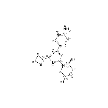 C[C@H]1CN(c2cc(-c3cnc(N)nc3)nc(N3CCC3)n2)[C@@H](C)CO1